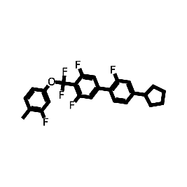 Cc1ccc(OC(F)(F)c2c(F)cc(-c3ccc(C4CCCC4)cc3F)cc2F)cc1F